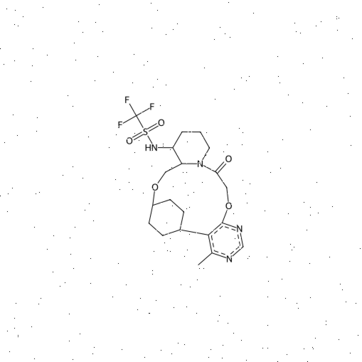 Cc1ncnc2c1C1CCC(CC1)OCC1C(NS(=O)(=O)C(F)(F)F)CCCN1C(=O)CO2